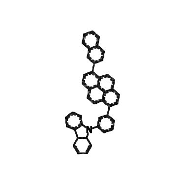 C1=CC2c3ccccc3N(c3cccc(-c4ccc5ccc6c(-c7ccc8ccccc8c7)ccc7ccc4c5c76)c3)C2C=C1